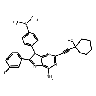 CN(C)c1ccc(-n2c(-c3cccc(F)c3)nc3c(N)nc(C#CC4(O)CCCCC4)nc32)cc1